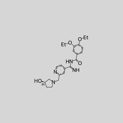 CCOc1ccc(C(=O)NC(=N)c2ccnc(CN3CC[C@@H](O)C3)c2)cc1OCC